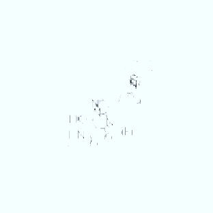 CC(C)Cn1c(=O)c(C(=O)NC2CC2)c(O)n2ncc(C=CC(=O)N3CC4CCC(C3)C4(F)F)c12